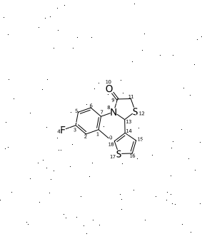 Cc1cc(F)ccc1N1C(=O)CSC1c1ccsc1